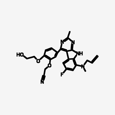 C=CCN(C)c1cc(F)cc2c1[nH]c1nc(C)nc(-c3ccc(OCCO)c(OCC#N)c3)c12